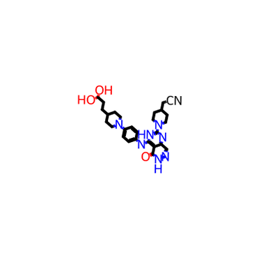 N#CCC1CCN(c2nc(Nc3ccc(N4CCC(CCC(O)O)CC4)cc3)c3c(=O)[nH]ncc3n2)CC1